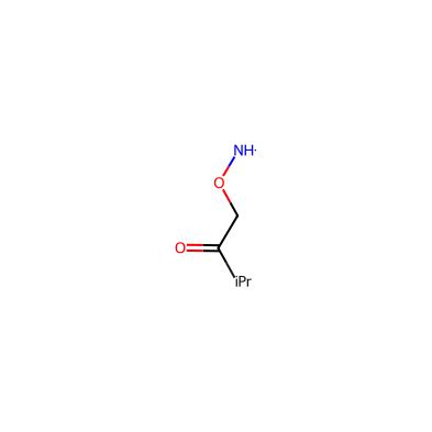 CC(C)C(=O)CO[NH]